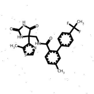 Cc1ccc(C(=O)NCC2(c3ncsc3C)NC(=O)NC2=O)c(-c2ccc(C(C)(F)F)cc2)c1